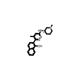 Cc1cc(N[C@@H]2CCCN(C)C2)nnc1-c1ccc2ccccc2c1O